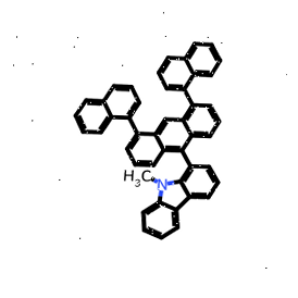 Cn1c2ccccc2c2cccc(-c3c4cccc(-c5cccc6ccccc56)c4cc4c(-c5cccc6ccccc56)cccc34)c21